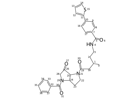 CC(CCNC(=O)c1ccc(-c2cccs2)cc1)CC(=O)N1CCC2C1C(=O)CN2C(=O)c1ccccc1